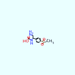 CCS(=O)(=O)c1ccc(C(CN)NC(=O)O)cc1